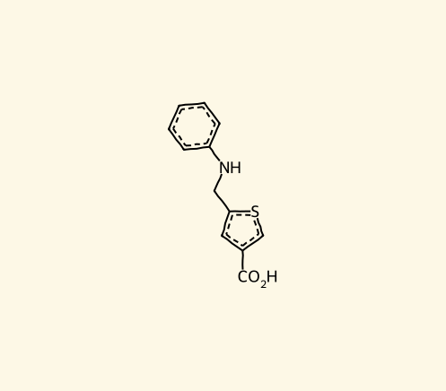 O=C(O)c1csc(CNc2ccccc2)c1